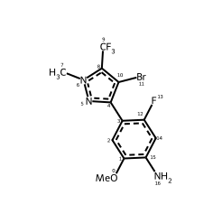 COc1cc(-c2nn(C)c(C(F)(F)F)c2Br)c(F)cc1N